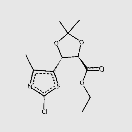 CCOC(=O)[C@@H]1OC(C)(C)O[C@H]1c1sc(Cl)nc1C